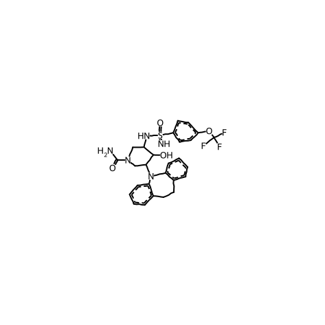 N=S(=O)(NC1CN(C(N)=O)CC(N2c3ccccc3CCc3ccccc32)C1O)c1ccc(OC(F)(F)F)cc1